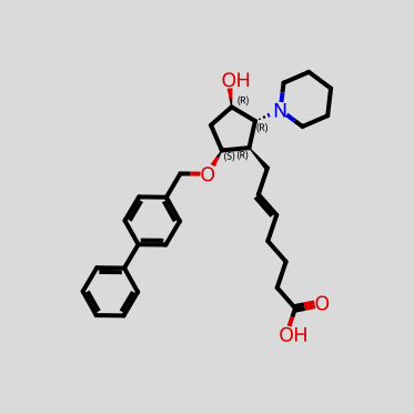 O=C(O)CCCC=CC[C@@H]1[C@@H](N2CCCCC2)[C@H](O)C[C@@H]1OCc1ccc(-c2ccccc2)cc1